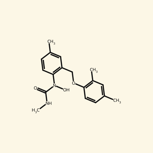 CNC(=O)N(O)c1ccc(C)cc1COc1ccc(C)cc1C